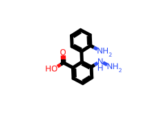 NNc1cccc(C(=O)O)c1-c1ccccc1N